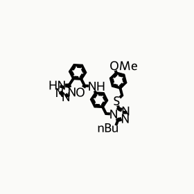 CCCCc1nnc(SCc2ccc(OC)cc2)n1Cc1ccc(NC(=O)c2ccccc2-c2nnn[nH]2)cc1